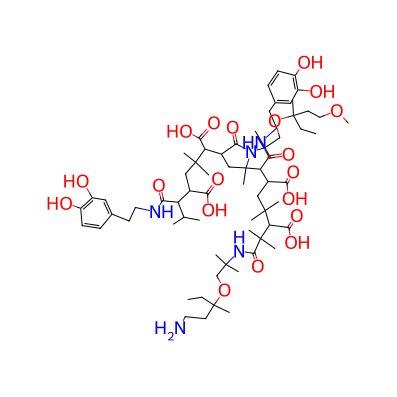 CCC(C)(CCN)OCC(C)(C)NC(=O)C(C)(C)C(C(=O)O)C(C)(C)CC(C(=O)O)C(C(=O)NCCc1ccc(O)c(O)c1)C1(C)CC(C(C(=O)O)C(C)(C)CC(C(=O)O)C(C(=O)NCCc2ccc(O)c(O)c2)C(C)C)C(=O)N1C(C)(C)COC(C)(CC)CCOC